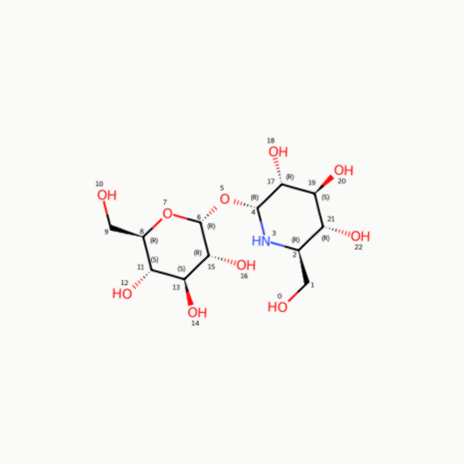 OC[C@H]1N[C@H](O[C@H]2O[C@H](CO)[C@@H](O)[C@H](O)[C@H]2O)[C@H](O)[C@@H](O)[C@@H]1O